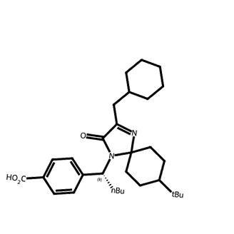 CCCC[C@H](c1ccc(C(=O)O)cc1)N1C(=O)C(CC2CCCCC2)=NC12CCC(C(C)(C)C)CC2